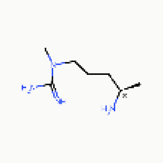 C[C@@H](N)CCCN(C)C(=N)N